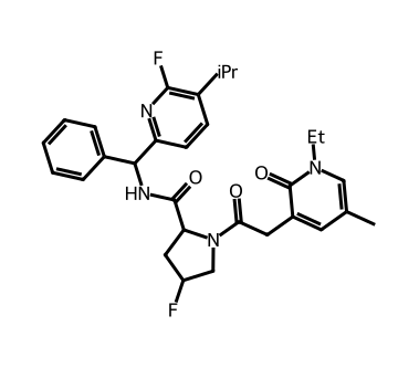 CCn1cc(C)cc(CC(=O)N2CC(F)CC2C(=O)NC(c2ccccc2)c2ccc(C(C)C)c(F)n2)c1=O